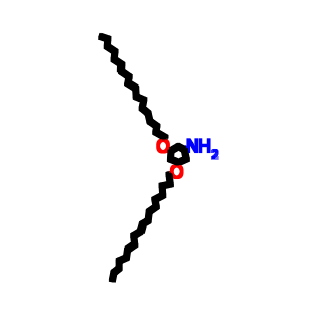 CCCCCC=CCC=CCCCCCCCCOC1CC(N)CC(OCCCCCCCCC=CCC=CCCCCC)C1